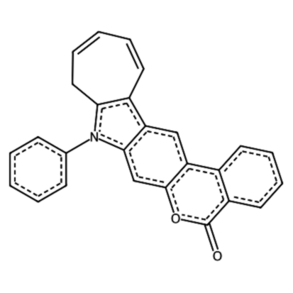 O=c1oc2cc3c(cc2c2ccccc12)c1c(n3-c2ccccc2)CC=CC=C1